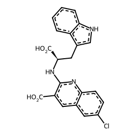 O=C(O)c1cc2cc(Cl)ccc2nc1N[C@H](Cc1c[nH]c2ccccc12)C(=O)O